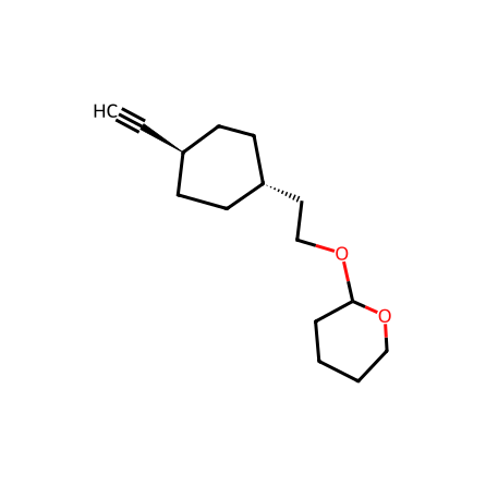 C#C[C@H]1CC[C@H](CCOC2CCCCO2)CC1